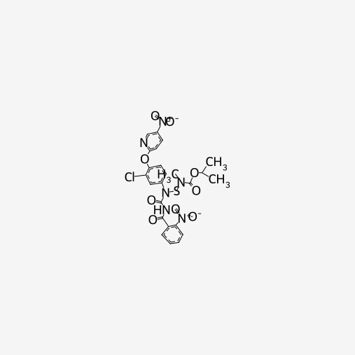 CC(C)OC(=O)N(C)SN(C(=O)NC(=O)c1ccccc1[N+](=O)[O-])c1ccc(Oc2ccc([N+](=O)[O-])cn2)c(Cl)c1